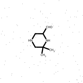 CC1(C)CNCC(C=O)N1